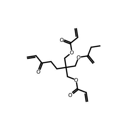 C=CC(=O)CCC(COC(=C)CC)(COC(=O)C=C)COC(=O)C=C